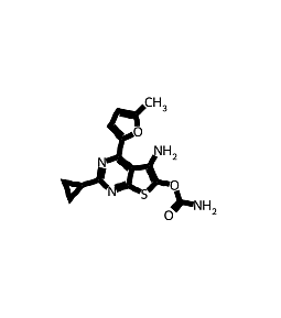 Cc1ccc(-c2nc(C3CC3)nc3sc(OC(N)=O)c(N)c23)o1